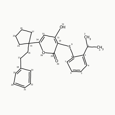 CC(C)c1ccccc1Sc1c(O)cc(C2(CCc3ccccc3)CCCC2)oc1=O